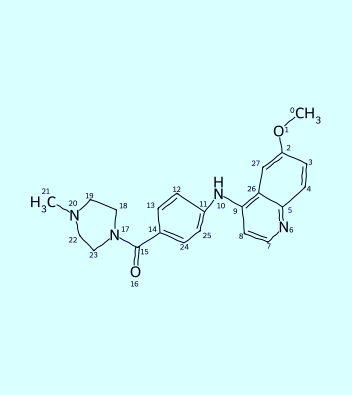 COc1ccc2nccc(Nc3ccc(C(=O)N4CCN(C)CC4)cc3)c2c1